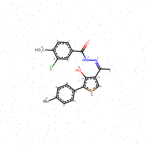 CC(=NNC(=O)c1ccc(C(=O)O)c(Cl)c1)c1csc(-c2ccc(C(C)(C)C)cc2)c1O